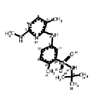 CNc1ncc(C)c(Nc2ccc(C)c(S(=O)(=O)NC(C)(C)C)c2)n1